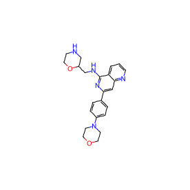 c1cnc2cc(-c3ccc(N4CCOCC4)cc3)nc(NCC3CNCCO3)c2c1